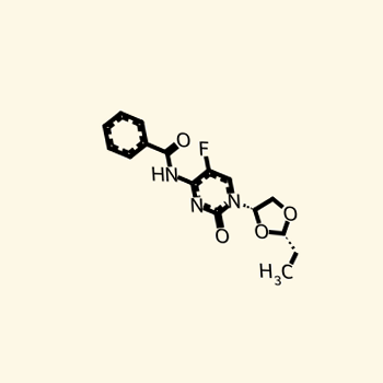 CC[C@H]1OC[C@@H](n2cc(F)c(NC(=O)c3ccccc3)nc2=O)O1